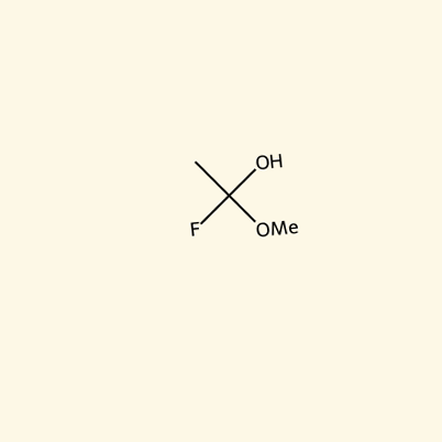 COC(C)(O)F